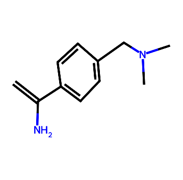 C=C(N)c1ccc(CN(C)C)cc1